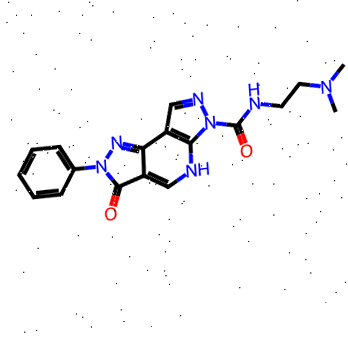 CN(C)CCNC(=O)n1ncc2c3nn(-c4ccccc4)c(=O)c-3c[nH]c21